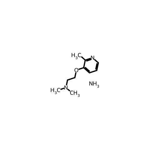 Cc1ncccc1OCCN(C)C.N